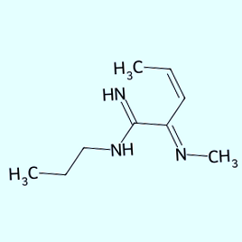 C/C=C\C(=N/C)C(=N)NCCC